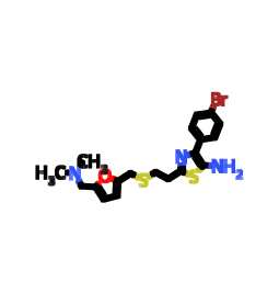 CN(C)Cc1ccc(CSCCc2nc(-c3ccc(Br)cc3)c(N)s2)o1